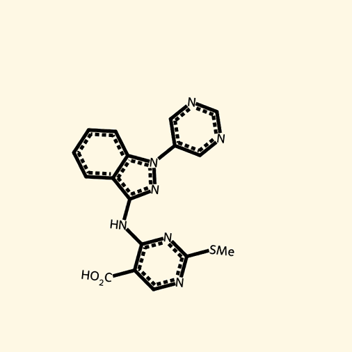 CSc1ncc(C(=O)O)c(Nc2nn(-c3cncnc3)c3ccccc23)n1